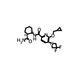 NC(=O)[C@H]1CCCC[C@H]1NC(=O)c1ccc(N2CC(F)(F)C2)c(OCC2CC2)n1